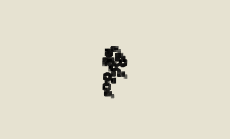 CCc1c(Oc2cccc(N3CCN(C)CC3)c2Cl)nc(NS(=O)(=O)c2cnn(C)c2)nc1-c1cccnc1OC